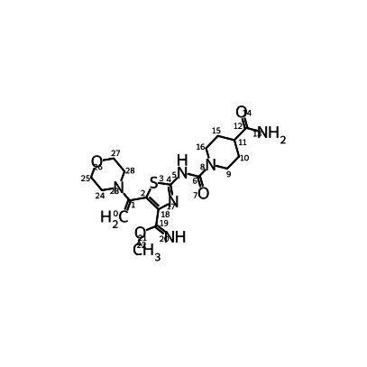 C=C(c1sc(NC(=O)N2CCC(C(N)=O)CC2)nc1C(=N)OC)N1CCOCC1